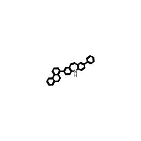 C1=Cc2cc(-c3cccc4c3CCc3ccccc3-4)ccc2Nc2ccc(-c3ccccc3)cc21